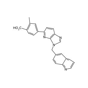 Cc1cc(-c2ccc3ncn(Cc4ccc5ncccc5c4)c3n2)ccc1C(=O)O